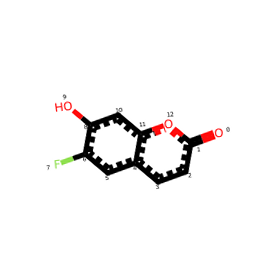 O=c1ccc2cc(F)c(O)cc2o1